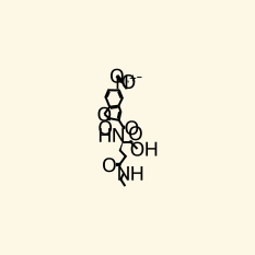 CCNC(=O)CC[C@@H](NC(=O)c1cc2cc([N+](=O)[O-])ccc2oc1=O)C(=O)O